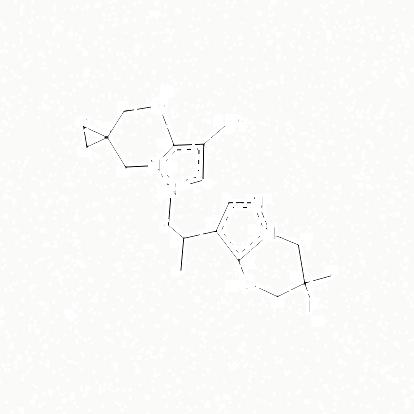 CC(C)c1c[n+](CC(C)c2cnn3c2OCC(C)(F)C3)n2c1OCC1(CC1)C2